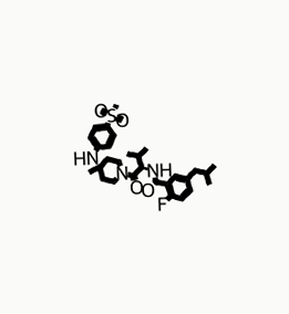 CC(C)Cc1ccc(F)c(C(=O)N[C@@H](C(=O)N2CCC(C)(Nc3ccc(S(C)(=O)=O)cc3)CC2)C(C)C)c1